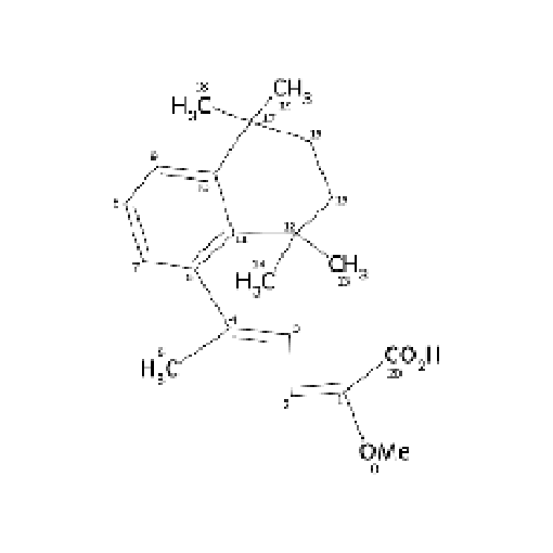 COC(=CC=C(C)c1cccc2c1C(C)(C)CCC2(C)C)C(=O)O